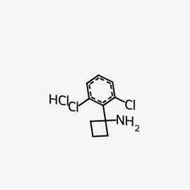 Cl.NC1(c2c(Cl)cccc2Cl)CCC1